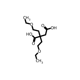 CCOCCC(CCOCC)(CC(=O)O)C(=O)O